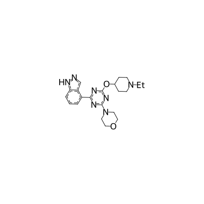 CCN1CCC(Oc2nc(-c3cccc4[nH]ncc34)nc(N3CCOCC3)n2)CC1